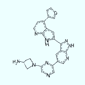 NC1CN(c2cncc(-c3cnc4[nH]nc(-c5cc6c(-c7ccoc7)ccnc6[nH]5)c4c3)n2)C1